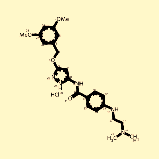 COc1cc(COc2cc(NC(=O)c3ccc(NCCN(C)C)cc3)[nH]n2)cc(OC)c1.Cl